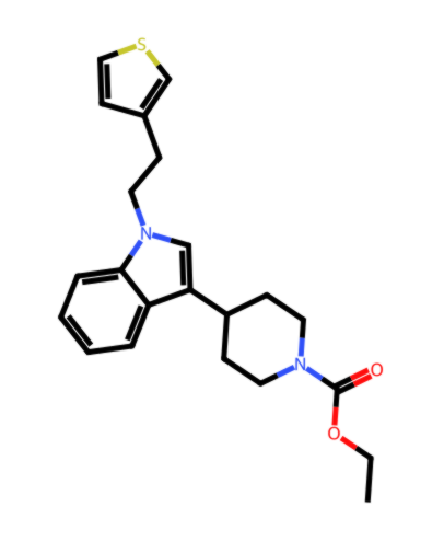 CCOC(=O)N1CCC(c2cn(CCc3ccsc3)c3ccccc23)CC1